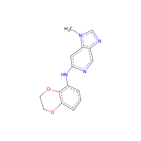 Cn1cnc2cnc(Nc3cccc4c3OCCO4)cc21